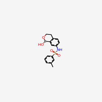 Cc1cccc(S(=O)(=O)Nc2ccc3c(c2)B(O)OCC3)c1